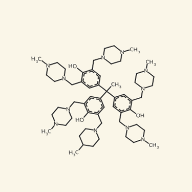 CC1CCN(Cc2cc(C(C)(c3cc(CN4CCN(C)CC4)c(O)c(CN4CCN(C)CC4)c3)c3cc(CN4CCN(C)CC4)c(O)c(CN4CCN(C)CC4)c3)cc(CN3CCN(C)CC3)c2O)CC1